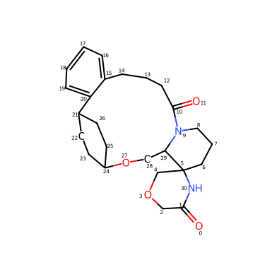 O=C1COCC2(CCCN3C(=O)CCCc4ccccc4C4CCC(CC4)OCC32)N1